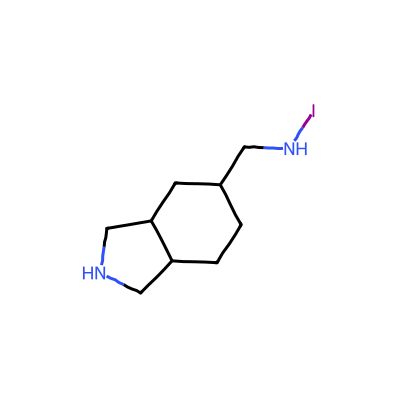 INCC1CCC2CNCC2C1